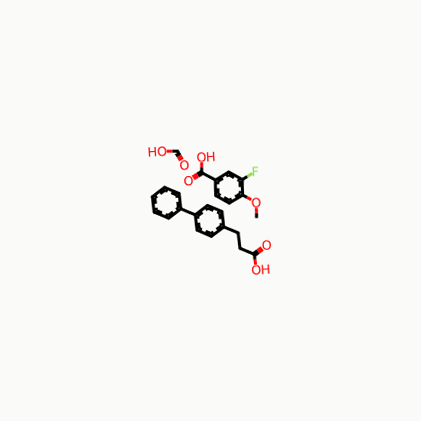 COc1ccc(C(=O)O)cc1F.O=C(O)CCc1ccc(-c2ccccc2)cc1.O=CO